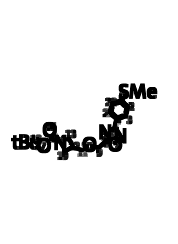 CSc1ccc(-c2noc(COCC3CN(C(=O)OC(C)(C)C)C3)n2)cc1